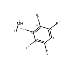 CO.Fc1cc(F)c(F)c(F)c1F